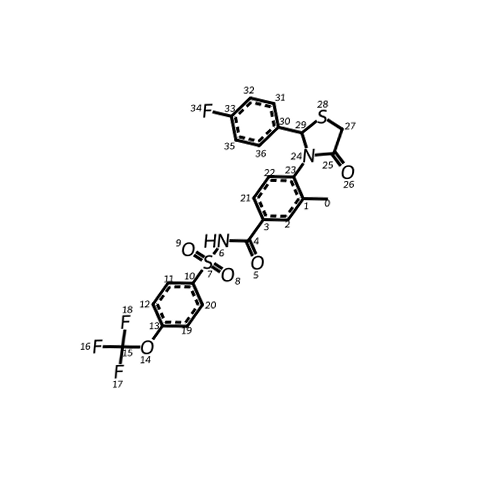 Cc1cc(C(=O)NS(=O)(=O)c2ccc(OC(F)(F)F)cc2)ccc1N1C(=O)CSC1c1ccc(F)cc1